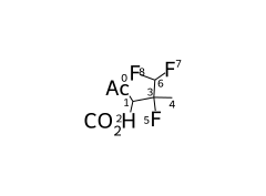 CC(=O)C(C(=O)O)C(C)(F)C(F)F